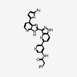 CC(=O)c1ccc(-c2ccnc3[nH]c(-c4n[nH]c5ccc(-c6cncc(NC(=O)CC(C)C)c6)nc45)nc23)s1